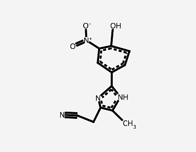 Cc1[nH]c(-c2ccc(O)c([N+](=O)[O-])c2)nc1CC#N